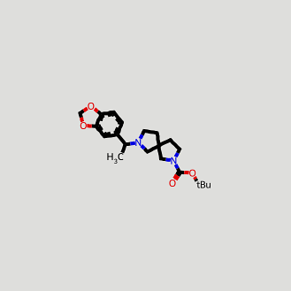 CC(c1ccc2c(c1)OCO2)N1CCC2(CCN(C(=O)OC(C)(C)C)C2)C1